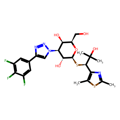 Cc1nc([C@@H](S[C@@H]2O[C@H](CO)[C@H](O)[C@H](n3cc(-c4cc(F)c(F)c(F)c4)nn3)[C@H]2O)C(C)(C)O)c(C)s1